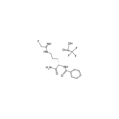 N=C(CF)NCCC[C@H](NC(=O)c1ccccc1)C(N)=O.O=C(O)C(F)(F)F